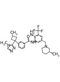 CC1CC(c2cccc(C(=O)Nc3cc(CN4CCC[C@H](C)C4)cc(C(F)(F)F)c3N)c2)(c2nncn2C)C1